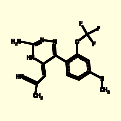 CSc1ccc(C2=NN=C(N)N/C2=C\C(C)=N)c(OC(F)(F)F)c1